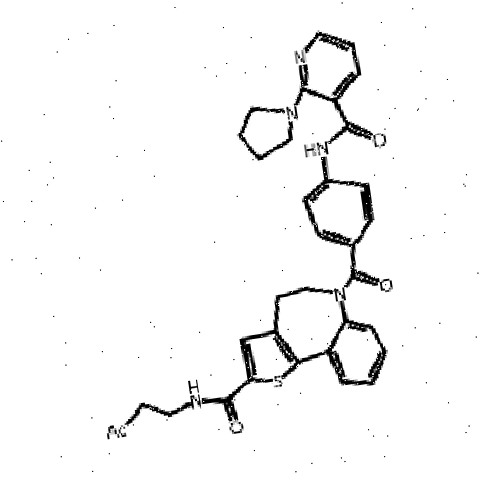 CC(=O)CCNC(=O)c1cc2c(s1)-c1ccccc1N(C(=O)c1ccc(NC(=O)c3cccnc3N3CCCC3)cc1)CC2